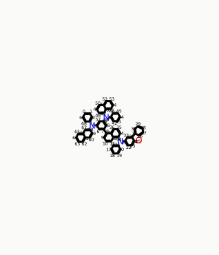 c1ccc(N(c2cc(-c3cccc4c(N(c5ccccc5)c5ccc6oc7ccccc7c6c5)cccc34)cc(N(c3ccccc3)c3cccc4ccccc34)c2)c2ccc3ccccc3c2)cc1